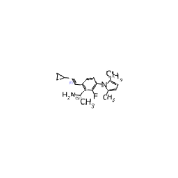 Cc1ccc(C)n1-c1ccc(/C=C/C2CC2)c([C@H](C)N)c1F